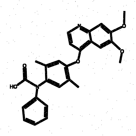 COc1cc2nccc(Oc3cc(C)c(N(C(=O)O)c4ccccc4)cc3C)c2cc1OC